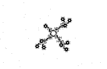 O=C(CN1CCN(CC(=O)NCCNC(=O)c2cccc(OCc3ccccc3)c2OCc2ccccc2)CCN(CC(=O)OCc2ccccc2)CCN(CC(=O)NCCNC(=O)c2cccc(OCc3ccccc3)c2OCc2ccccc2)CC1)NCCNC(=O)c1cccc(OCc2ccccc2)c1OCc1ccccc1